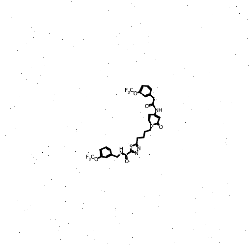 O=C(Cc1cccc(OC(F)(F)F)c1)Nc1ccn(CCCCc2nnc(C(=O)NCc3cccc(OC(F)(F)F)c3)s2)c(=O)c1